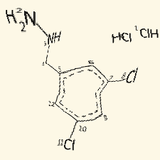 Cl.Cl.NNCc1cc(Cl)cc(Cl)c1